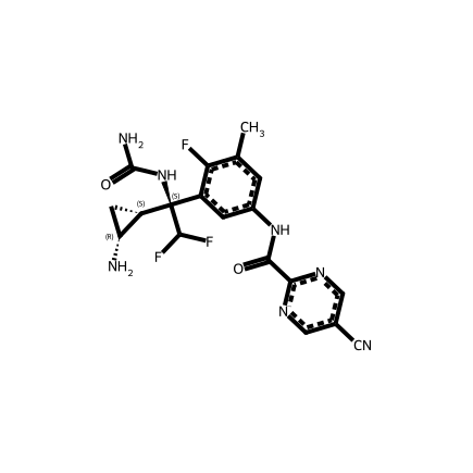 Cc1cc(NC(=O)c2ncc(C#N)cn2)cc([C@](NC(N)=O)(C(F)F)[C@H]2C[C@H]2N)c1F